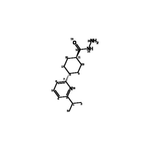 CC(C)c1cccc([C@H]2CC[C@H](C(=O)NN)CC2)n1